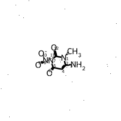 Cn1c(N)cc(=O)n([N+](=O)[O-])c1=O